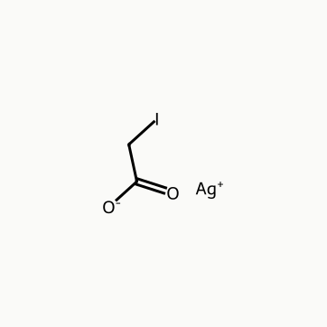 O=C([O-])CI.[Ag+]